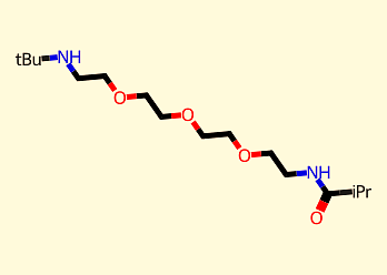 CC(C)C(=O)NCCOCCOCCOCCNC(C)(C)C